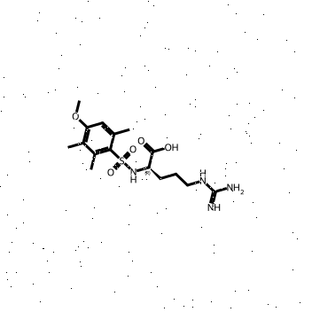 COc1cc(C)c(S(=O)(=O)N[C@H](CCCNC(=N)N)C(=O)O)c(C)c1C